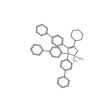 C[P+]1(C)CC(C2CCCCC2)=C(c2ccc(-c3ccccc3)cc2)[B-]1(c1ccc(-c2ccccc2)cc1)c1ccc(-c2ccccc2)cc1